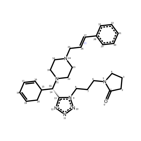 O=C1CCCN1CCCn1nnnc1[C@H](C1C=CC=CC1)N1CCN(C/C=C/c2ccccc2)CC1